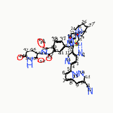 CNc1cc(-c2ccc3cc(C#N)cnn23)ncc1-c1nnc(N2CC3CCC(C2)N3C2CCN(Cc3ccc4c(c3)C(=O)N(C3CCC(=O)NC3=O)C4=O)CC2)s1